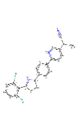 CC(C#N)c1ccc(-c2ccc(C3CCC(c4c(F)cccc4F)=N3)cc2)nc1